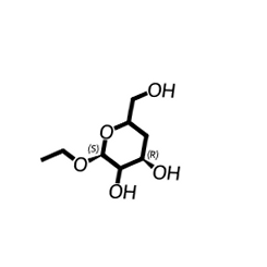 CCO[C@H]1OC(CO)C[C@@H](O)C1O